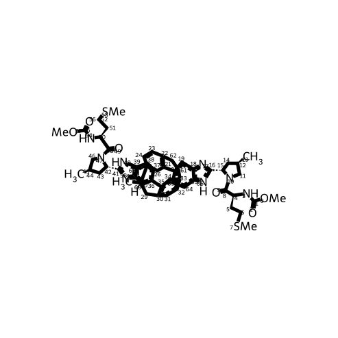 COC(=O)N[C@@H](CCSC)C(=O)N1C[C@H](C)C[C@H]1c1nc2cc(C3=C4C=C[C@H](C3)[C@H](C)Cc3ccc(cc3-c3ccc5[nH]c([C@@H]6C[C@@H](C)CN6C(=O)[C@H](CCSC)NC(=O)OC)nc5c3)CC4)ccc2[nH]1